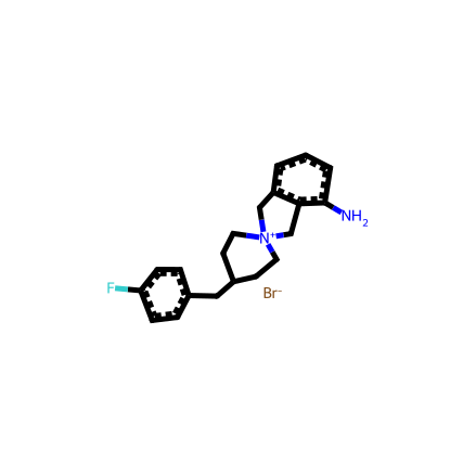 Nc1cccc2c1C[N+]1(CCC(Cc3ccc(F)cc3)CC1)C2.[Br-]